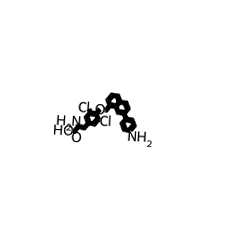 Nc1ccc(-c2ccc3cccc(COc4c(Cl)cc(C[C@H](N)C(=O)O)cc4Cl)c3c2)cc1